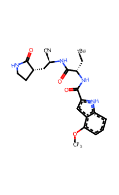 CC(C)(C)C[C@H](NC(=O)c1cc2c(OC(F)(F)F)cccc2[nH]1)C(=O)N[C@H](C#N)C[C@@H]1CCNC1=O